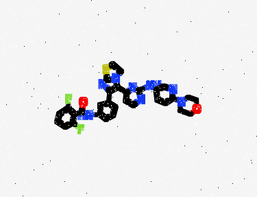 O=C(Nc1cccc(-c2nc3sccn3c2-c2ccnc(Nc3ccc(N4CCOCC4)nc3)n2)c1)c1c(F)cccc1F